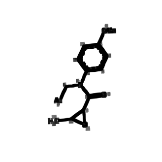 COc1ccc(N(CC(C)=O)C(=O)C2OC2C)cc1